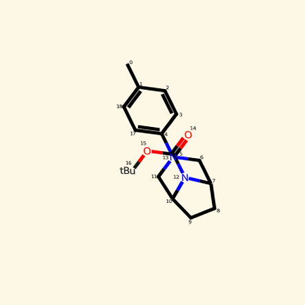 Cc1ccc(N2CC3CCC(C2)N3C(=O)OC(C)(C)C)cc1